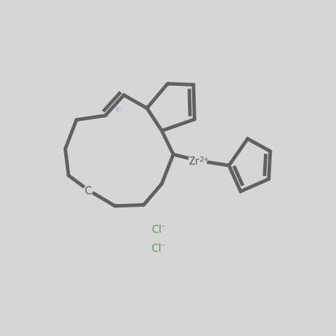 C1=CC[C]([Zr+2][CH]2CCCCCCC/C=C/C3CC=CC32)=C1.[Cl-].[Cl-]